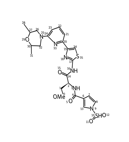 COC[C@H](NC(=O)c1ccn([SH](=O)=O)c1)C(=O)Nc1nc(-c2cccc(N3CC(C)OC(C)C3)n2)cs1